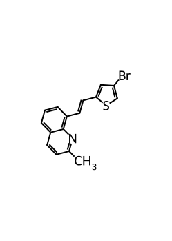 Cc1ccc2cccc(/C=C/c3cc(Br)cs3)c2n1